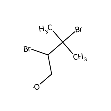 CC(C)(Br)C(Br)C[O]